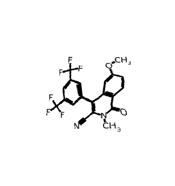 COc1ccc2c(=O)n(C)c(C#N)c(-c3cc(C(F)(F)F)cc(C(F)(F)F)c3)c2c1